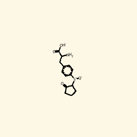 NC(Cc1ccc([S+]([O-])C2CCCC2=O)cc1)C(=O)O